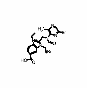 CCn1c(CN(C=O)c2nc(Br)cnc2N)[n+](CC)c2ccc(C(=O)O)cc21.[Br-]